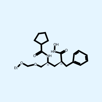 CCOCOC[C@H](C[C@H](Cc1ccccc1)C(=O)NO)NC(=O)C1CCCC1